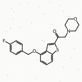 O=C(CN1CCOCC1)c1cc2c(OCc3ccc(F)cc3)cccc2s1